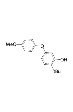 COc1ccc(Oc2ccc(C(C)(C)C)c(O)c2)cc1